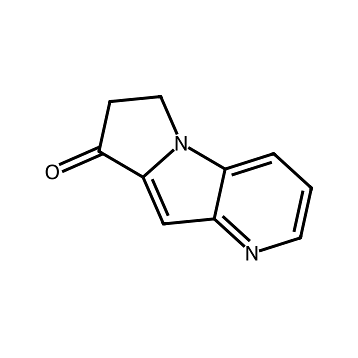 O=C1CCn2c1cc1ncccc12